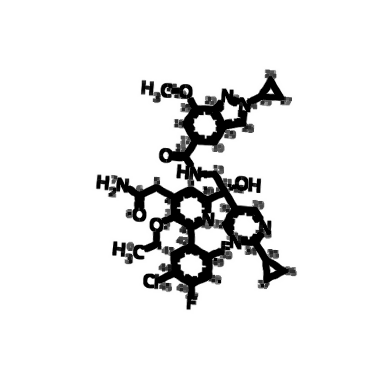 CCOc1c(CC(N)=O)cc([C@@](O)(CNC(=O)c2cc(OC)c3nn(C4CC4)cc3c2)c2cnc(C3CC3)nc2)nc1-c1cc(Cl)c(F)cc1F